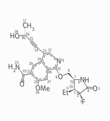 CC[C@@H]1[C@H](F)C(=O)N[C@@H]1COc1ncc(C#C[C@@H](C)O)c2cc(C(N)=O)c(OC)cc12